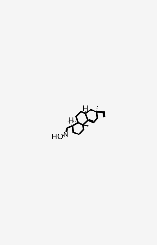 C=C[C@@]1(C)CC=C2[C@@H](CC[C@H]3[C@@]2(C)CCC[C@@]3(C)/C=N/O)C1